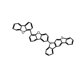 c1ccc2c(c1)oc1c(-c3cccc4c3oc3ccc(-n5c6ccccc6c6cc7c(cc65)sc5ccccc57)cc34)cccc12